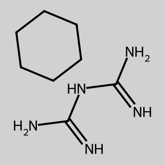 C1CCCCC1.N=C(N)NC(=N)N